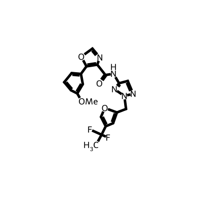 COc1cccc(-c2ocnc2C(=O)Nc2cnn(Cc3cc(C(C)(F)F)co3)n2)c1